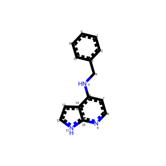 c1ccc(CNc2ccnc3[nH]ccc23)cc1